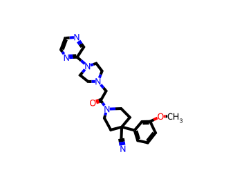 COc1cccc(C2(C#N)CCN(C(=O)CN3CCN(c4cnccn4)CC3)CC2)c1